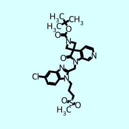 CC(C)(C)OC(=O)N1CC2(C1)C(=O)N(Cc1nc3cc(Cl)ccc3n1CCCS(C)(=O)=O)c1cnccc12